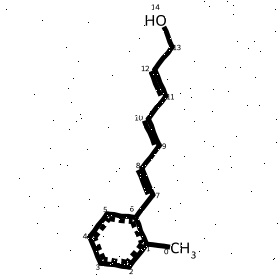 Cc1ccccc1C=C/C=C/C=C/CO